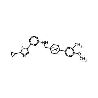 COc1ccc(C23CCC(CNc4cccc(-c5cnc(C6CC6)s5)c4)(CC2)CC3)cc1C